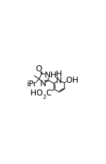 CC(C)C1(C)N=C(C2=C(C(=O)O)C=CC(O)N2)NC1=O